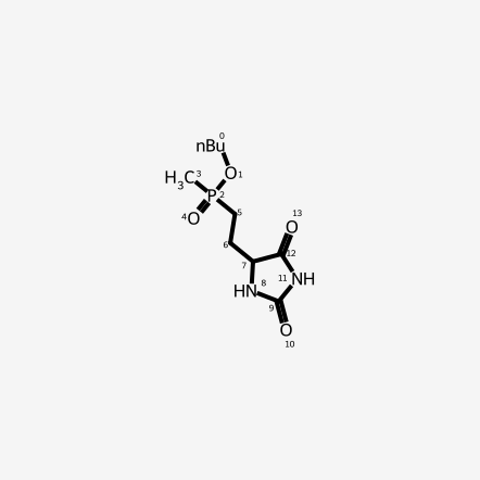 CCCCOP(C)(=O)CCC1NC(=O)NC1=O